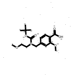 COCCN(Cc1ccc(C(=O)O)c(OC)c1)C(=O)OC(C)(C)C